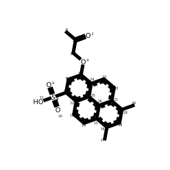 CC(=O)COc1cc(S(=O)(=O)O)c2ccc3c(C)cc(C)c4ccc1c2c43